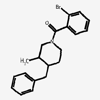 CC1CN(C(=O)c2ccccc2Br)CCC1Cc1ccccc1